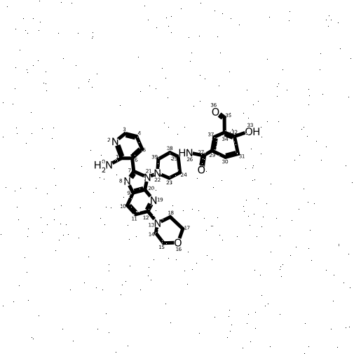 Nc1ncccc1-c1nc2ccc(N3CCOCC3)nc2n1N1CCC(NC(=O)c2ccc(O)c(C=O)c2)CC1